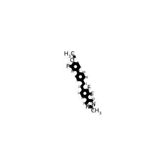 CCOc1ccc(-c2ccc(CCc3ccc(-c4cnc(C)nc4)c(F)c3F)cc2)cc1F